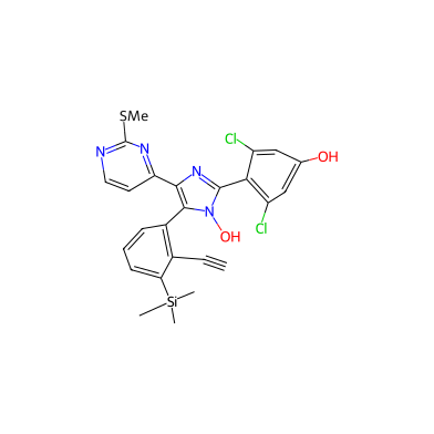 C#Cc1c(-c2c(-c3ccnc(SC)n3)nc(-c3c(Cl)cc(O)cc3Cl)n2O)cccc1[Si](C)(C)C